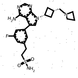 Nc1ncnc2c1c(-c1cc(F)cc(CCS(N)(=O)=O)c1)cn2[C@H]1C[C@@H](CN2CCC2)C1